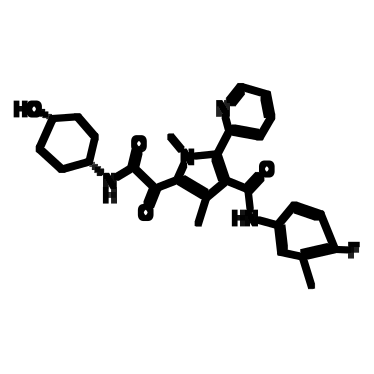 Cc1cc(NC(=O)c2c(C)c(C(=O)C(=O)N[C@H]3CC[C@@H](O)CC3)n(C)c2-c2ccccn2)ccc1F